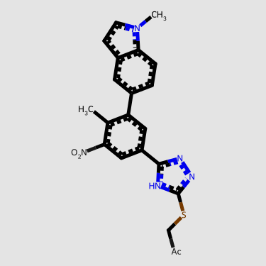 CC(=O)CSc1nnc(-c2cc(-c3ccc4c(ccn4C)c3)c(C)c([N+](=O)[O-])c2)[nH]1